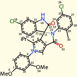 COc1ccc(-n2cc3c(c2C(C)C)[C@@]2(C(=O)Nc4cc(Cl)ccc42)N(c2cc(Cl)ccc2C)C3=O)c(OC)c1